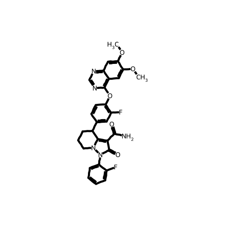 COc1cc2ncnc(Oc3ccc(C4CCCn5c4c(C(N)=O)c(=O)n5-c4ccccc4F)cc3F)c2cc1OC